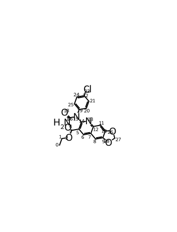 CCOC(=O)c1cc2cc3c(cc2nc1N(C(N)=O)c1ccc(Cl)cc1)OCO3